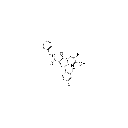 O=C(OCc1ccccc1)c1cc(-c2ccc(F)cc2F)c2nc(O)c(F)cn2c1=O